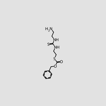 NCCNC(=S)NCCSC(=O)OCc1ccccc1